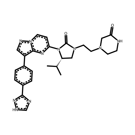 CC(C)[C@H]1CN(CCN2CCNC(=O)C2)C(=O)N1c1ccn2ncc(-c3ccc(-c4nc[nH]n4)cc3)c2n1